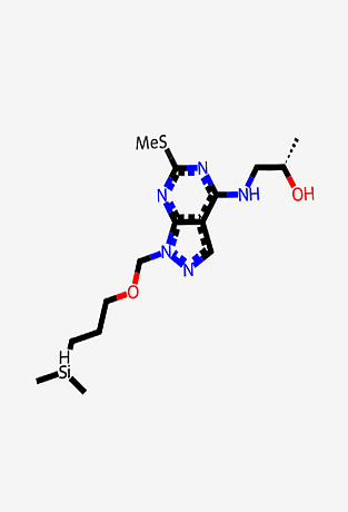 CSc1nc(NC[C@H](C)O)c2cnn(COCCC[SiH](C)C)c2n1